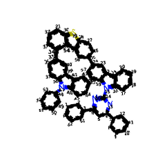 c1ccc(-c2cc(-c3ccccc3)nc(-n3c4ccccc4c4cc(-c5ccc6sc7cccc(-c8ccc9c(c8)c8ccccc8n9-c8ccccc8)c7c6c5)ccc43)n2)cc1